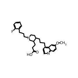 COc1ccc2nccc(CCCC3CCN(CCCc4ccccc4F)CC3CCC(=O)O)c2c1